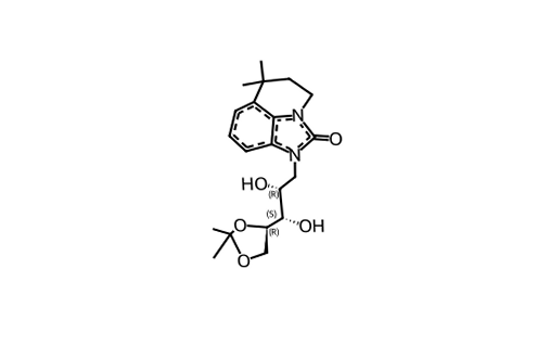 CC1(C)OC[C@H]([C@@H](O)[C@H](O)Cn2c(=O)n3c4c(cccc42)C(C)(C)CC3)O1